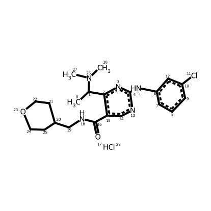 CC(c1nc(Nc2cccc(Cl)c2)ncc1C(=O)NCC1CCOCC1)N(C)C.Cl